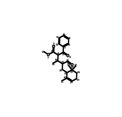 COC(=O)C(C(=O)c1ccccc1)C(C)C(C=O)CC1C(C)=CCCC1(C)C